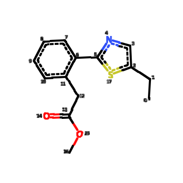 CCc1cnc(-c2ccccc2CC(=O)OC)s1